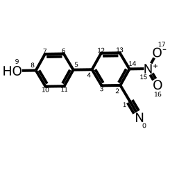 N#Cc1cc(-c2ccc(O)cc2)ccc1[N+](=O)[O-]